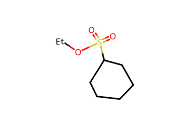 CCOS(=O)(=O)C1CCCCC1